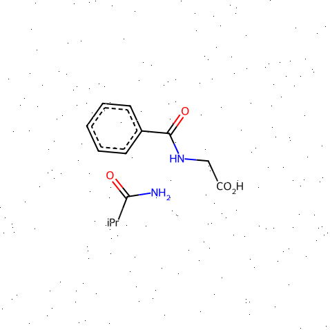 CC(C)C(N)=O.O=C(O)CNC(=O)c1ccccc1